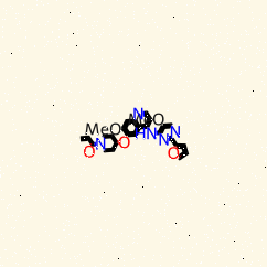 C=CC(=O)N1CCC(Oc2cc3c(Nc4nc(-c5ccco5)ncc4OC)ccnc3cc2OC)CC1